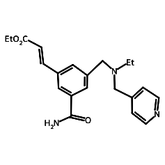 CCOC(=O)C=Cc1cc(CN(CC)Cc2ccncc2)cc(C(N)=O)c1